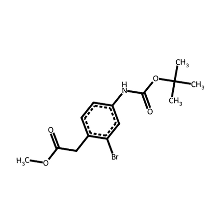 COC(=O)Cc1ccc(NC(=O)OC(C)(C)C)cc1Br